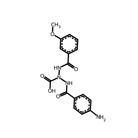 COc1cccc(C(=O)NN(NC(=O)c2ccc(N)cc2)C(=O)O)c1